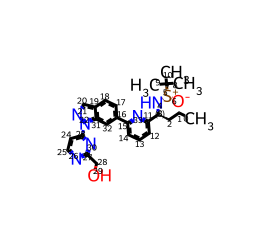 CCC[C@H](N[S+]([O-])C(C)(C)C)c1cccc(-c2ccc3cnn(-c4ccnc(CO)n4)c3c2)n1